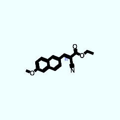 CCOC(=O)/C(C#N)=C/c1ccc2cc(OC)ccc2c1